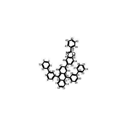 c1ccc(-c2cccc(-c3c4ccccc4c(-c4cccc(-c5ccccc5)c4)c4cc(-c5ccc6oc(-c7ccccc7)nc6c5)ccc34)c2)cc1